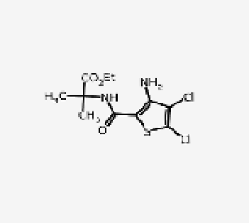 CCOC(=O)C(C)(C)NC(=O)c1sc(Cl)c(Cl)c1N